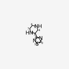 c1nc(C2CNCCN2)ns1